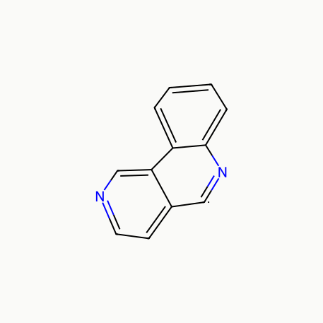 [c]1nc2ccccc2c2cnccc12